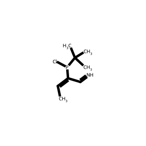 C/C=C(\C=N)P(Cl)C(C)(C)C